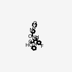 O=C(NCc1c(C(=O)O)n(-c2ccccc2)c2cc(F)ccc2c1=O)c1ccc(N2CCOCC2)nc1